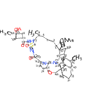 CO[C@H]1/C=C/C[C@H](C)C[S@@](=O)(NC(=O)[C@H]2C[C@](C)(O)C2)=NC(=O)c2ccc3c(n2)N(C[C@@H]2CC[C@H]21)C[C@@]1(CCCc2cc(C)ccc21)CO3